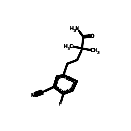 CC(C)(CCc1ccc(F)c(C#N)c1)C(N)=O